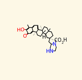 CC1=C(O)C(=O)C=C2C1=CC=C1[C@@]2(C)CC[C@@]2(C)[C@@H]3C[C@](C)(CC4CNCCN4C(=O)O)CC[C@@]3(C)CC[C@]12C